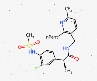 CCCCCc1nc(C(F)(F)F)ccc1CNC(=O)[C@@H](C)c1ccc(NS(C)(=O)=O)c(F)c1